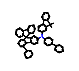 CC1(C)c2ccccc2-c2ccc(N(c3ccc(-c4ccccc4)cc3)c3ccc4c(c3)C3(c5ccccc5-c5ccccc53)c3cccc(-c5ccccc5)c3-4)cc21